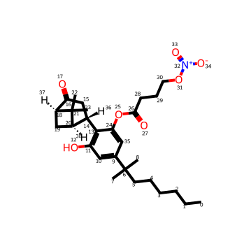 CCCCCCC(C)(C)c1cc(O)c([C@H]2CC(=O)[C@@H]3C[C@H]2C3(C)C)c(OC(=O)CCCO[N+](=O)[O-])c1